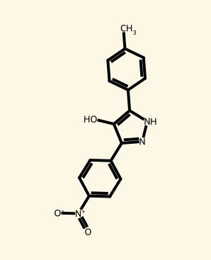 Cc1ccc(-c2[nH]nc(-c3ccc([N+](=O)[O-])cc3)c2O)cc1